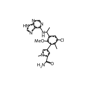 COc1c(C(C)Nc2ncnc3[nH]cnc23)cc(Cl)c(C)c1-c1cc(C(N)=O)n(C)c1